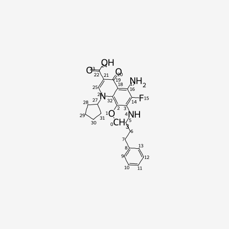 COc1c(NCCCc2ccccc2)c(F)c(N)c2c(=O)c(C(=O)O)cn(C3CCCC3)c12